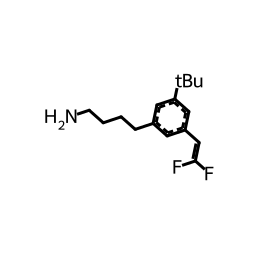 CC(C)(C)c1cc(C=C(F)F)cc(CCCCN)c1